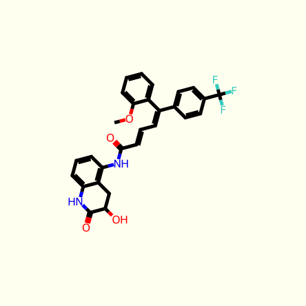 COc1ccccc1C(=CC=CC(=O)Nc1cccc2c1CC(O)C(=O)N2)c1ccc(C(F)(F)F)cc1